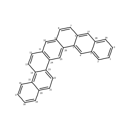 c1ccc2cc3c(ccc4cc5ccc6c7ccccc7ccc6c5cc43)cc2c1